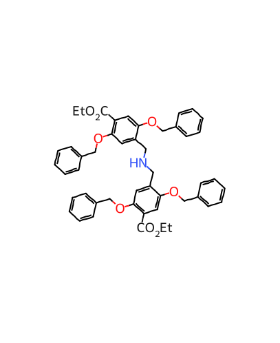 CCOC(=O)c1cc(OCc2ccccc2)c(CNCc2cc(OCc3ccccc3)c(C(=O)OCC)cc2OCc2ccccc2)cc1OCc1ccccc1